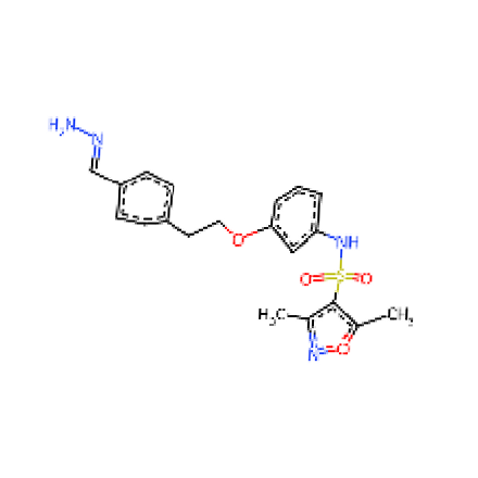 Cc1noc(C)c1S(=O)(=O)Nc1cccc(OCCc2ccc(C=NN)cc2)c1